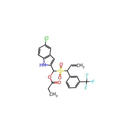 C=CC(c1cccc(C(F)(F)F)c1)S(=O)(=O)C(OC(=O)CC)c1cc2cc(Cl)ccc2[nH]1